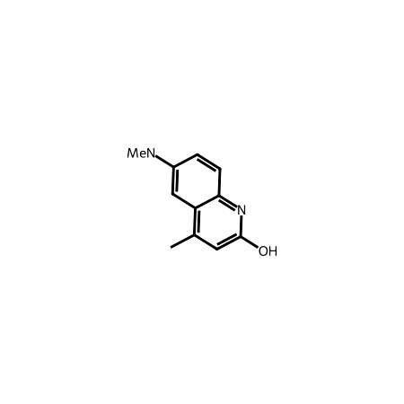 CNc1ccc2nc(O)cc(C)c2c1